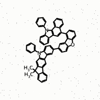 CC1(C)c2ccccc2-c2cc3c4cc(-c5ccc6oc7cccc(-c8cc9c%10ccccc%10n(-c%10ccccc%10)c9c9ccccc89)c7c6c5)ccc4n(-c4ccccc4)c3cc21